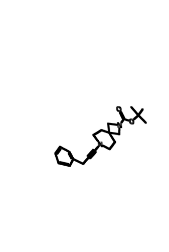 CC(C)(C)OC(=O)N1CC2(CCN(C#CCc3ccccc3)CC2)C1